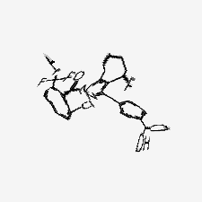 O=C(O)c1ccc(-c2nn(C(=O)c3c(Cl)cccc3C(F)(F)F)c3c2C(F)CCC3)cc1